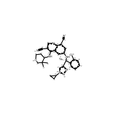 [2H][C@@](Nc1cc(C#N)c2ncc(C#N)c(NC3CCOCC3(C)C)c2c1)(c1cn(C2CC2)nn1)c1ccccc1Cl